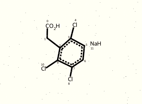 O=C(O)Cc1c(Cl)ccc(Cl)c1Cl.[NaH]